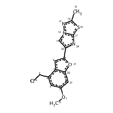 COc1cc(CCl)c2cc(-c3cn4nc(C)sc4n3)oc2c1